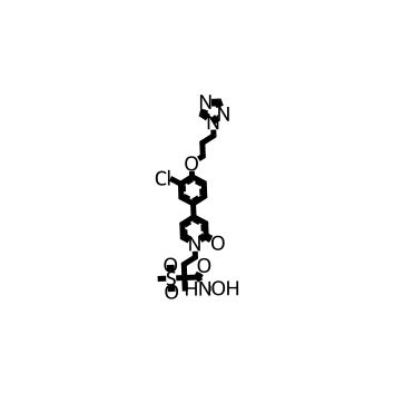 CC(CCn1ccc(-c2ccc(OCCCn3cncn3)c(Cl)c2)cc1=O)(C(=O)NO)S(C)(=O)=O